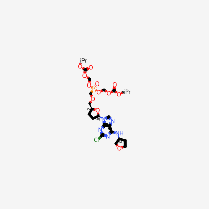 CC(C)OC(=O)OCOP(=O)(COC[C@@H]1CC[C@H](n2cnc3c(N[C@H]4CCOC4)nc(Cl)nc32)O1)OCOC(=O)OC(C)C